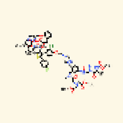 C[N-]c1sc(-c2ccc(F)cc2)c(-c2ccc(OCCN3CC[N+](C)(Cc4ccc(NC(=O)CNC(=O)C(NC(=O)OC(C)(C)C)C(C)C)cc4CN(C)C(=O)CN(CC(=O)OC(C)(C)C)CC(=O)OC(C)(C)C)CC3)c(Cl)c2C)c1C(=N)OC(Cc1ccccc1OCc1ccnc(-c2ccccc2OC)n1)C(=O)OCc1ccc(OC)cc1